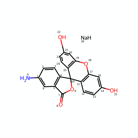 Nc1ccc2c(c1)C(=O)OC21c2ccc(O)cc2Oc2cc(O)ccc21.[NaH]